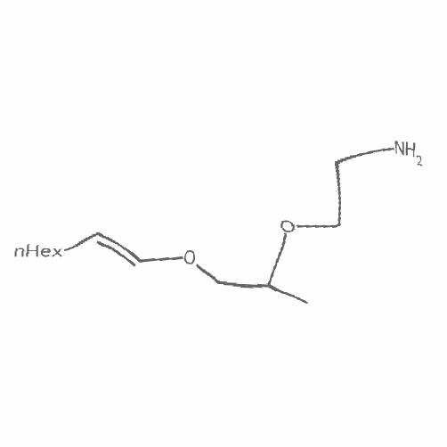 CCCCCCC=COCC(C)OCCN